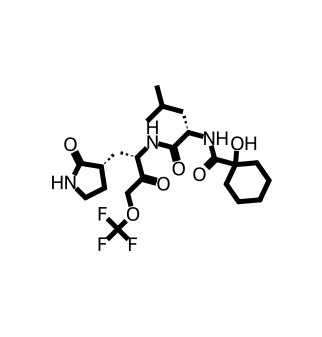 CC(C)C[C@H](NC(=O)C1(O)CCCCC1)C(=O)N[C@@H](C[C@@H]1CCNC1=O)C(=O)COC(F)(F)F